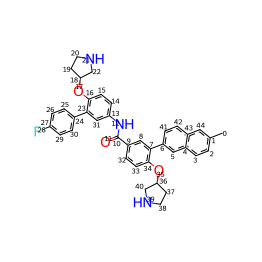 Cc1ccc2cc(-c3cc(C(=O)Nc4ccc(O[C@H]5CCNC5)c(-c5ccc(F)cc5)c4)ccc3O[C@H]3CCNC3)ccc2c1